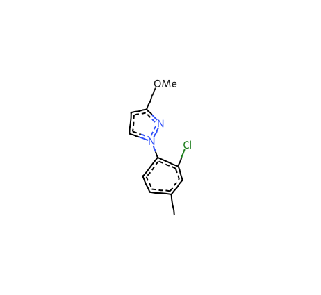 [CH2]Oc1ccn(-c2ccc(C)cc2Cl)n1